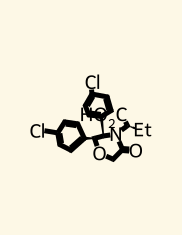 CC[C@@H](C(=O)O)N1C(=O)CO[C@@H](c2ccc(Cl)cc2)[C@H]1c1ccc(Cl)cc1